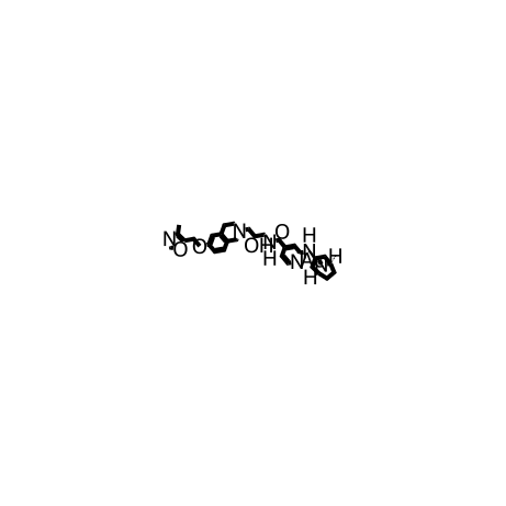 CC(=O)N1[C@@H]2CC[C@H]1C[C@@H](Nc1cc(C(=O)NC[C@H](O)CN3CCc4cc(OCc5ocnc5C)ccc4C3)ccn1)C2